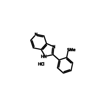 CSc1ccccc1-c1nc2cnccc2[nH]1.Cl